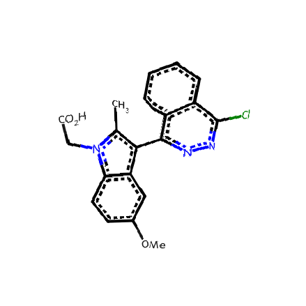 COc1ccc2c(c1)c(-c1nnc(Cl)c3ccccc13)c(C)n2CC(=O)O